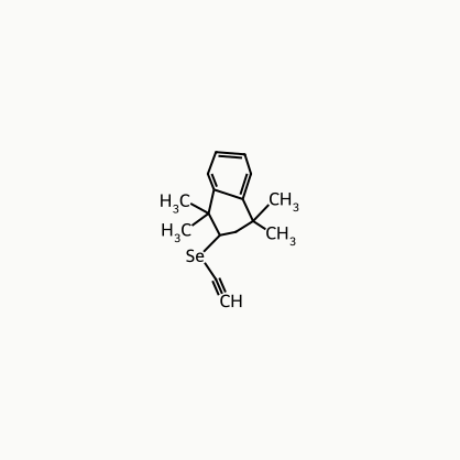 C#C[Se]C1CC(C)(C)c2ccccc2C1(C)C